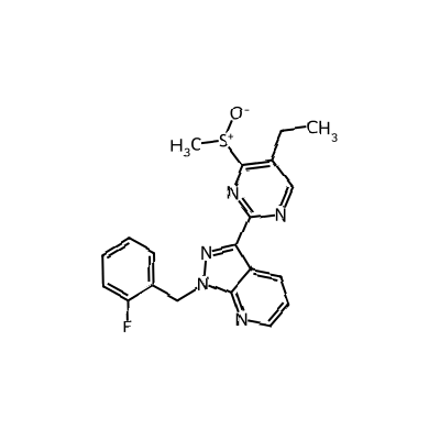 CCc1cnc(-c2nn(Cc3ccccc3F)c3ncccc23)nc1[S+](C)[O-]